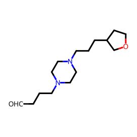 O=CCCCN1CCN(CCCC2CCOC2)CC1